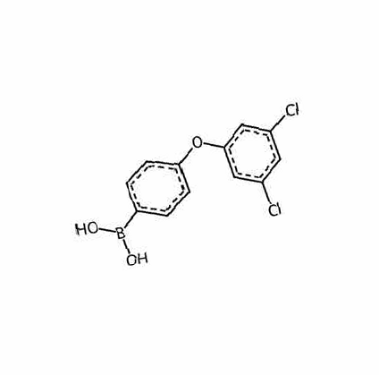 OB(O)c1ccc(Oc2cc(Cl)cc(Cl)c2)cc1